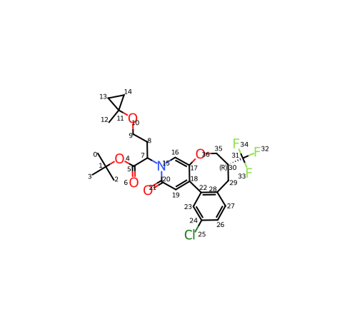 CC(C)(C)OC(=O)C(CCOC1(C)CC1)n1cc2c(cc1=O)-c1cc(Cl)ccc1C[C@@H](C(F)(F)F)CO2